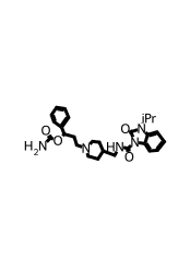 CC(C)n1c(=O)n(C(=O)NCC2CCN(CCC(OC(N)=O)c3ccccc3)CC2)c2ccccc21